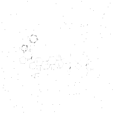 CC1([C@@H]2CC[C@]3(C(=O)N4CCC[C@H]4c4ncc(-c5ccccn5)[nH]4)CC[C@]4(C)[C@H](CC[C@@H]5[C@@]6(C)CC[C@H](OC(=O)[C@H]7C[C@@H](C(=O)O)C7(C)C)C(C)(C)[C@@H]6CC[C@]54C)[C@@H]23)CC1